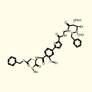 CCCCC[C@@H](C(=O)NCNC(=O)c1ccc(-c2ccc(C(=O)N[C@@H](CC(=O)OCc3ccccc3)C(=O)OC(C)(C)C)c(OCC)c2)o1)[C@@H](CC)N(C=O)OCc1ccccc1